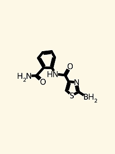 Bc1nc(C(=O)Nc2ccccc2C(N)=O)cs1